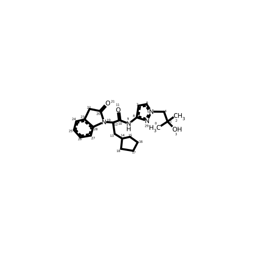 CC(C)(O)Cn1ccc(NC(=O)C(CC2CCCC2)N2C(=O)Cc3ccccc32)n1